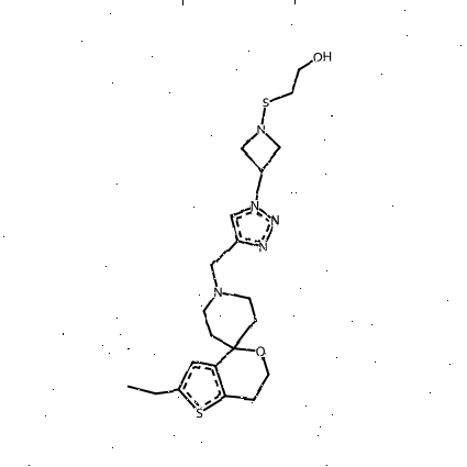 CCc1cc2c(s1)CCOC21CCN(Cc2cn(C3CN(SCCO)C3)nn2)CC1